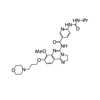 COc1c(OCCCN2CCOCC2)ccc2c1N=C(NC(=O)c1ccc(NC(=O)NC(C)C)nc1)N1CCN=C21